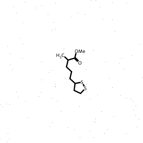 COC(=O)C(C)CCCC1CCSS1